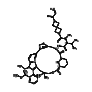 C=CC(=O)N1CC2(C1)CN(C(=O)N(C)[C@H](C(=O)N[C@H]1Cc3nc(cs3)-c3ccc4c(c3)c(c(-c3cccnc3[C@H](C)OC)n4CC)CC(C)(C)COC(=O)[C@@H]3CCCN(N3)C1=O)C(C)C)C2